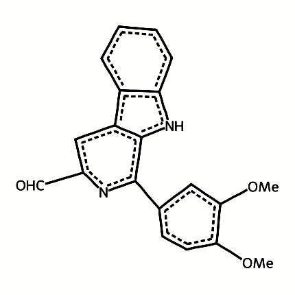 COc1ccc(-c2nc(C=O)cc3c2[nH]c2ccccc23)cc1OC